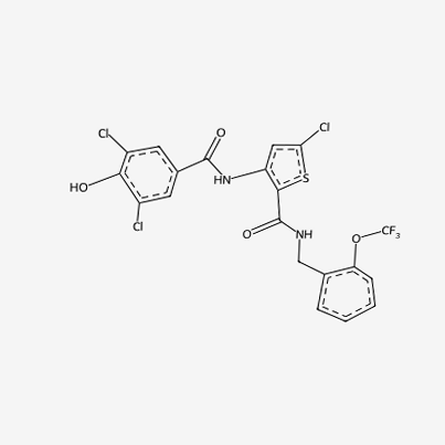 O=C(Nc1cc(Cl)sc1C(=O)NCc1ccccc1OC(F)(F)F)c1cc(Cl)c(O)c(Cl)c1